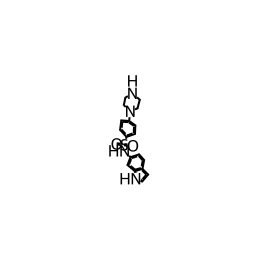 O=S(=O)(Nc1ccc2cc[nH]c2c1)c1ccc(N2CCNCC2)cc1